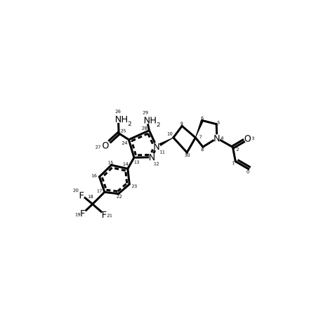 C=CC(=O)N1CC[C@]2(C1)C[C@H](n1nc(-c3ccc(C(F)(F)F)cc3)c(C(N)=O)c1N)C2